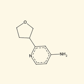 Nc1ccnc(C2CCOC2)c1